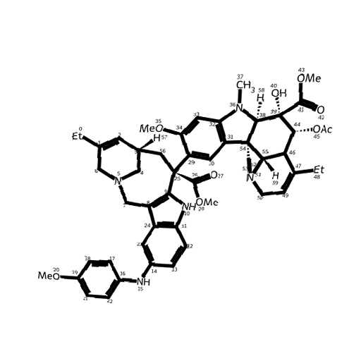 CCC1=C[C@H]2CN(C1)Cc1c([nH]c3ccc(Nc4ccc(OC)cc4)cc13)[C@@](C(=O)OC)(c1cc3c(cc1OC)N(C)[C@H]1[C@@](O)(C(=O)OC)[C@H](OC(C)=O)C4C(CC)=CCN5CC[C@]31[C@H]45)C2